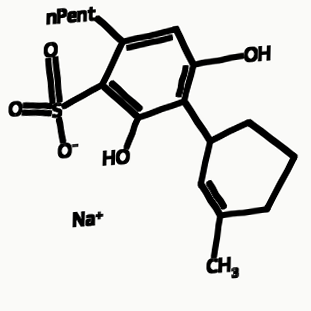 CCCCCc1cc(O)c(C2C=C(C)CCC2)c(O)c1S(=O)(=O)[O-].[Na+]